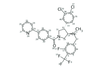 CN(Cc1ccc(C(F)(F)F)c(F)c1)[C@H]1CN(C(=O)c2ccc(-c3ccccn3)cc2)C[C@@H]1c1ccc(Cl)c(Cl)c1